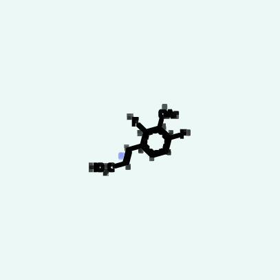 CC(=O)Oc1c(F)ccc(/C=C/C(=O)O)c1F